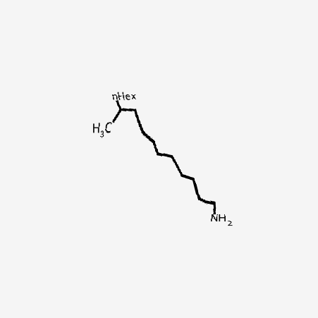 CCCCCCC(C)CCCCCCCCCN